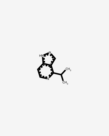 CC(C)c1nccc2[nH]ncc12